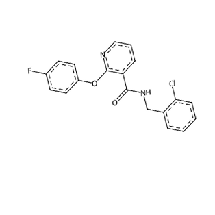 O=C(NCc1ccccc1Cl)c1cccnc1Oc1ccc(F)cc1